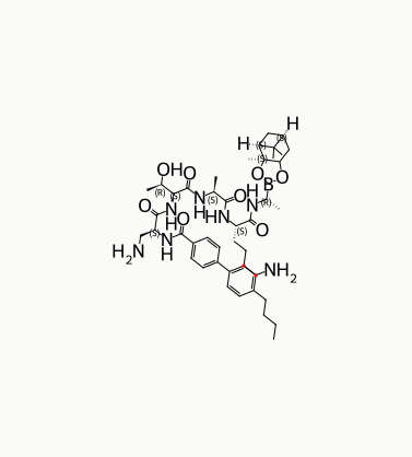 CCCCc1ccc(-c2ccc(C(=O)N[C@@H](CN)C(=O)N[C@H](C(=O)N[C@@H](C)C(=O)N[C@@H](CCCCN)C(=O)N[C@@H](C)B3OC4C[C@@H]5C[C@@H](C5(C)C)[C@]4(C)O3)[C@@H](C)O)cc2)cc1